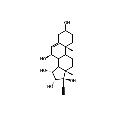 C#C[C@]1(O)[C@H](O)[C@H](O)C2C3C(CC[C@@]21C)[C@@]1(C)CC[C@H](O)CC1=C[C@@H]3O